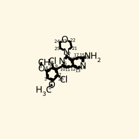 COc1cc(OC)c(Cl)c(-c2cc3cnc(N)cc3c(N3CCOCC3)n2)c1Cl